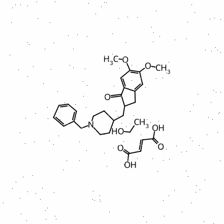 CCO.COc1cc2c(cc1OC)C(=O)C(CC1CCN(Cc3ccccc3)CC1)C2.O=C(O)C=CC(=O)O